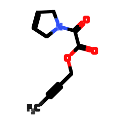 O=C(OCC#CC(F)(F)F)C(=O)N1CC=CC1